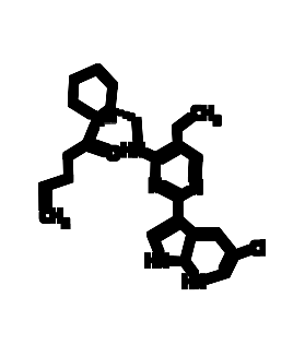 C=CCCC(=O)N1CCCC[C@@H]1CNc1nc(C2=CNC3NC=C(Cl)C=C23)ncc1CC